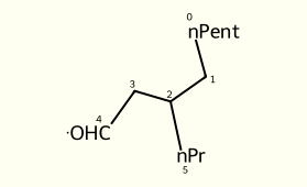 CCCCCCC(C[C]=O)CCC